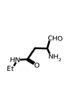 CCNC(=O)CC(N)C=O